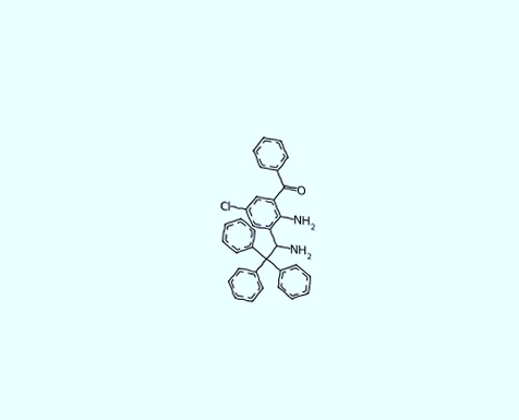 Nc1c(C(=O)c2ccccc2)cc(Cl)cc1C(N)C(c1ccccc1)(c1ccccc1)c1ccccc1